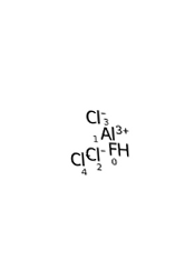 F.[Al+3].[Cl-].[Cl-].[Cl-]